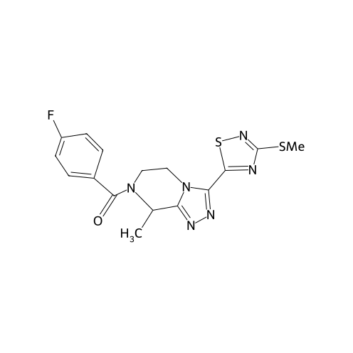 CSc1nsc(-c2nnc3n2CCN(C(=O)c2ccc(F)cc2)C3C)n1